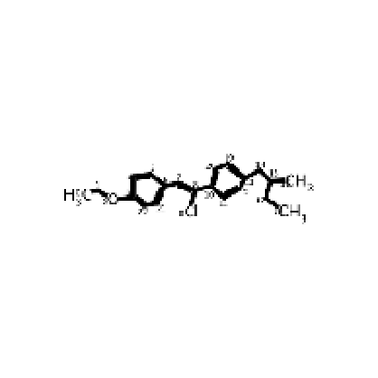 CCOc1ccc(/C=C(\Cl)c2ccc(CC(C)CC)cc2)cc1